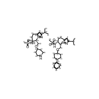 CC(C)c1cc2n(n1)[C@@H](COC1CCN(c3ncccn3)CC1)[C@@H](NS(C)(=O)=O)CC2.CC(C)c1cc2n(n1)[C@@H](COC1CCNCC1)[C@@H](NS(C)(=O)=O)CC2